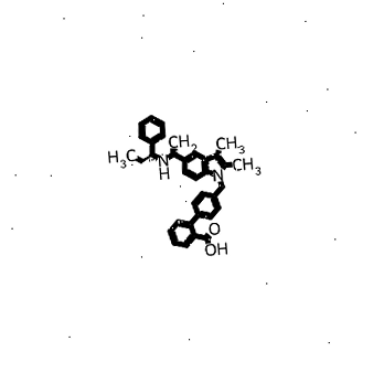 C=C(N[C@@H](CC)c1ccccc1)c1ccc2c(c1)c(C)c(C)n2Cc1ccc(-c2ccccc2C(=O)O)cc1